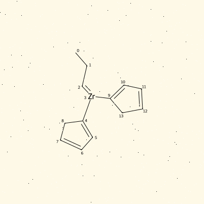 CC[CH]=[Zr]([C]1=CC=CC1)[C]1=CC=CC1